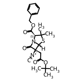 [C-]#[N+][C@]1(CC(=O)OC(C)(C)C)C(=O)N2[C@@H](C(=O)OCc3ccccc3)C(C)(C)S[C@@H]21